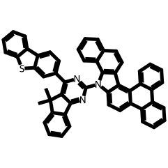 CC1(C)c2ccccc2-c2nc(-n3c4ccc5c6ccccc6c6ccccc6c5c4c4ccc5ccccc5c43)nc(-c3ccc4c(c3)sc3ccccc34)c21